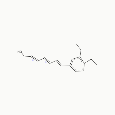 CCc1ccc(C=C/C=C/C=C/CO)cc1CC